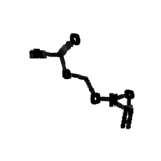 CC(C)(C)C(=O)OCOn1[nH]o1